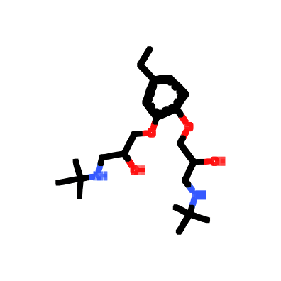 CCc1ccc(OCC(O)CNC(C)(C)C)c(OCC(O)CNC(C)(C)C)c1